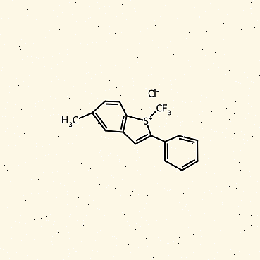 Cc1ccc2c(c1)cc(-c1ccccc1)[s+]2C(F)(F)F.[Cl-]